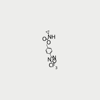 O=C(NC1CC1)OCc1ccc(-c2noc(C(F)(F)F)n2)cc1